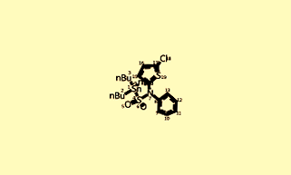 CCC[CH2][Sn]([CH2]CCC)([CH2]CCC)[S](=O)(=O)N(c1ccccc1)c1ccc(Cl)s1